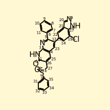 O=c1[nH]c2nc(-c3ccccc3)c(-c3cc(Cl)c4[nH]ncc4c3)cc2cc1C[S+]([O-])c1ccccc1